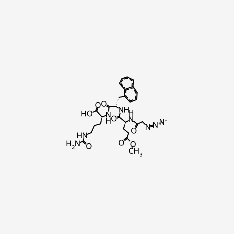 COC(=O)CC[C@H](NC(=O)CN=[N+]=[N-])C(=O)N[C@@H](Cc1cccc2ccccc12)C(=O)N[C@@H](CCCNC(N)=O)C(=O)O